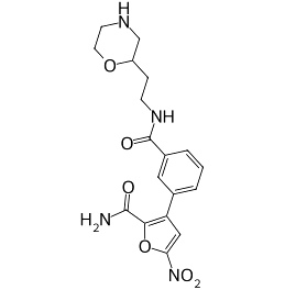 NC(=O)c1oc([N+](=O)[O-])cc1-c1cccc(C(=O)NCCC2CNCCO2)c1